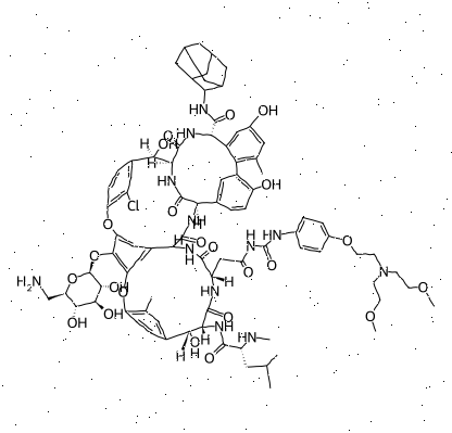 CN[C@H](CC(C)C)C(=O)N[C@H]1C(=O)N[C@@H](CC(=O)NC(=O)Nc2ccc(OCCN(CCOC)CCOC)cc2)C(=O)N[C@H]2C(=O)N[C@H]3C(=O)N[C@H](C(=O)N[C@H](C(=O)NC4C5CC6CC(C5)CC4C6)c4cc(O)cc(C)c4-c4cc3ccc4O)[C@H](O)c3ccc(c(Cl)c3)Oc3cc2cc(c3O[C@@H]2O[C@H](CN)[C@@H](O)[C@H](O)[C@H]2O)Oc2ccc(cc2C)[C@H]1O